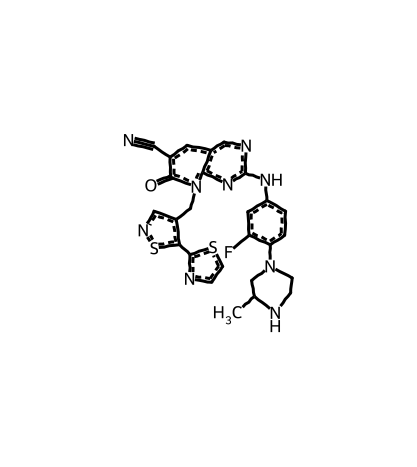 CC1CN(c2ccc(Nc3ncc4cc(C#N)c(=O)n(Cc5cnsc5-c5nccs5)c4n3)cc2F)CCN1